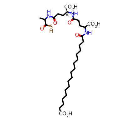 CC(NC(=O)CC[C@H](NC(=O)CCC(NC(=O)CCCCCCCCCCCCCCCCC(=O)O)C(=O)O)C(=O)O)C(=O)S